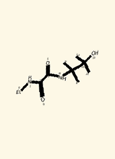 CCNC(=O)C(=O)NC(C)(C)C(C)(C)O